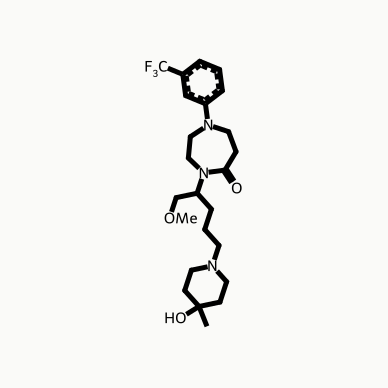 COCC(CCCN1CCC(C)(O)CC1)N1CCN(c2cccc(C(F)(F)F)c2)CCC1=O